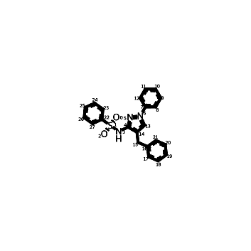 O=S(=O)(Nc1nn(-c2ccccc2)cc1Cc1ccccc1)c1ccccc1